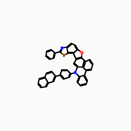 c1ccc(-c2nc3ccc4oc5ccc(N(c6ccc(-c7ccc8ccccc8c7)cc6)c6ccccc6-c6ccccc6)cc5c4c3s2)cc1